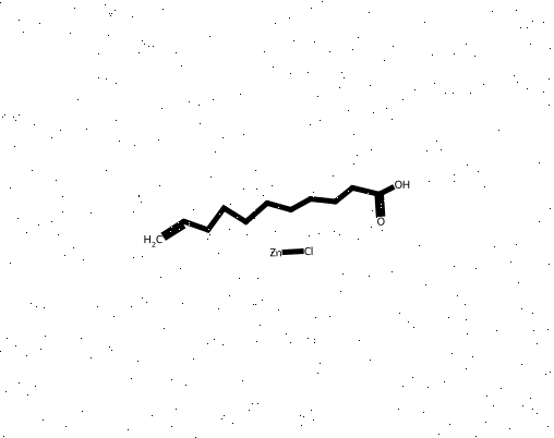 C=CCCCCCCCCC(=O)O.[Cl][Zn]